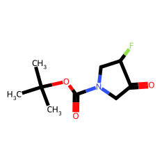 CC(C)(C)OC(=O)N1CC(=O)C(F)C1